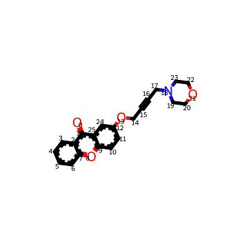 O=c1c2ccccc2oc2ccc(OCC#CCN3CCOCC3)cc12